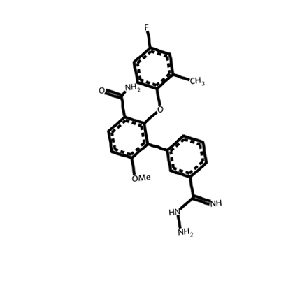 COc1ccc(C(N)=O)c(Oc2ccc(F)cc2C)c1-c1cccc(C(=N)NN)c1